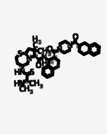 CN[C@@H](C)C(=S)N[C@H]1CCSC2CC(C)(C)[C@@H](C(=O)N[C@@H]3c4ccccc4CC[C@H]3C(=O)N3CCN(C(=O)[C@@H]4CCc5ccccc5C4)CC3)N2C1